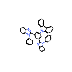 c1ccc(-n2c(-c3cc(-c4nc5ccccc5n4-c4ccccc4)cc(-n4c5ccccc5c5ccccc54)c3)nc3ccccc32)cc1